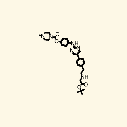 CN1CCN(C(=O)Oc2ccc(Nc3ncc(-c4ccc(CCNCC(=O)OC(C)(C)C)cc4)cn3)cc2)CC1